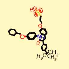 CC(C)(C)c1ccc(C(Cc2ccc(OCCCS(=O)(=O)O)cc2)C(=O)Nc2ccc(OCC3CCCCC3)cc2)cc1